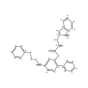 O=C(Cc1cc(NCCCc2ccccc2)ncc1-c1ccccc1)NCc1cc2cnccc2[nH]1